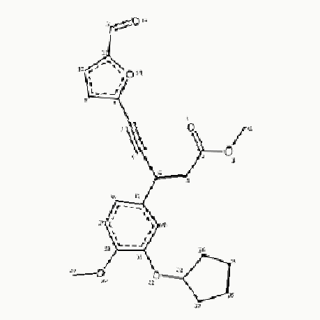 COC(=O)CC(C#Cc1ccc(C=O)o1)c1ccc(OC)c(OC2CCCC2)c1